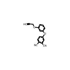 C#CCOc1cccc(Oc2ccc(C#N)c(C#N)c2)c1